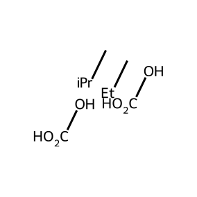 CC(C)C.CCC.O=C(O)O.O=C(O)O